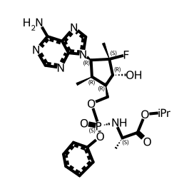 CC(C)OC(=O)[C@H](C)N[P@](=O)(OC[C@H]1[C@@H](C)[C@@H](n2cnc3c(N)ncnc32)[C@](C)(F)[C@@H]1O)Oc1ccccc1